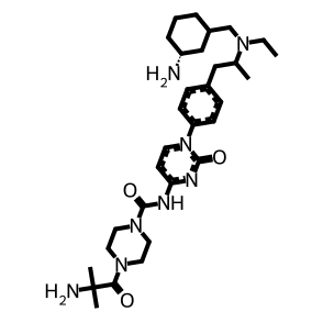 CCN(CC1CCC[C@@H](N)C1)C(C)Cc1ccc(-n2ccc(NC(=O)N3CCN(C(=O)C(C)(C)N)CC3)nc2=O)cc1